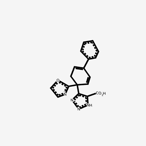 O=C(O)c1[nH]nnc1C1(c2ncco2)C=CC(c2ccccc2)=CC1